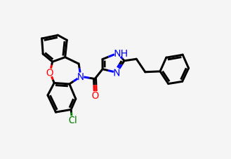 O=C(c1c[nH]c(CCc2ccccc2)n1)N1Cc2ccccc2Oc2ccc(Cl)cc21